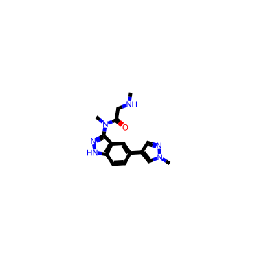 CNCC(=O)N(C)c1n[nH]c2ccc(-c3cnn(C)c3)cc12